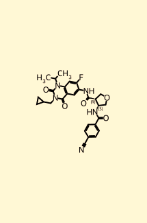 CC(C)n1c(=O)n(CC2CC2)c(=O)c2cc(NC(=O)[C@H]3COC[C@H]3NC(=O)c3ccc(C#N)cc3)c(F)cc21